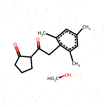 Cc1cc(C)c(CC(=O)C2CCCC2=O)c(C)c1.O=C(O)O